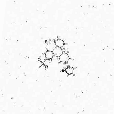 CS(=O)(=O)c1nccc(C2CN(c3ncc[nH]3)CC[C]2c2cccc(C(F)(F)F)c2)n1